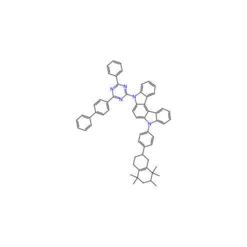 CC1CC(C)(C)C2=C(CC(c3ccc(-n4c5ccccc5c5c6c7ccccc7n(-c7nc(-c8ccccc8)nc(-c8ccc(-c9ccccc9)cc8)n7)c6ccc54)cc3)CC2)C1(C)C